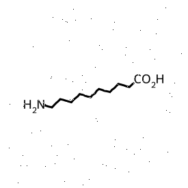 NCCCCCCCCCC(=O)O